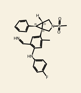 Cc1cc(Nc2ccc(F)cc2)c(C=N)cc1[C@]12CN(S(C)(=O)=O)C[C@H]1[C@@H]2c1ccccc1